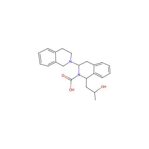 CC(O)CC1c2ccccc2CC(N2CCc3ccccc3C2)N1C(=O)O